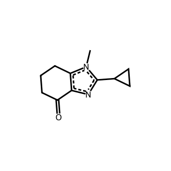 Cn1c(C2CC2)nc2c1CCCC2=O